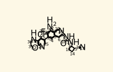 Cc1c(-c2cc3cc(NC(=O)N[C@H]4CC[C@H]4C#N)ncc3c(N)c2F)cnc2c1NCCO2